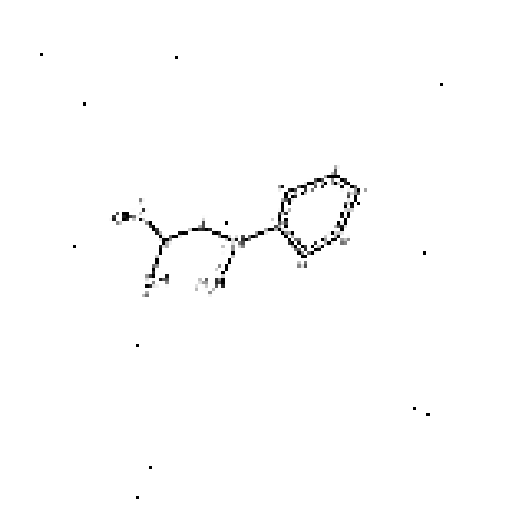 NN(CC(O)[C]=O)c1ccccc1